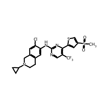 CS(=O)(=O)c1csc(-c2nc(Nc3cc4c(cc3Cl)CN(C3CC3)CC4)ncc2C(F)(F)F)c1